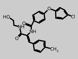 Cc1ccc(/C=C(\NC(=O)c2ccc(Oc3ccc(Cl)cc3)cc2)C(=O)NCCO)cc1